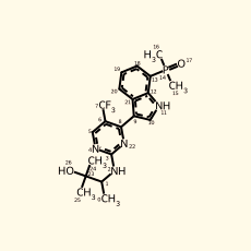 CC(Nc1ncc(C(F)(F)F)c(-c2c[nH]c3c(P(C)(C)=O)cccc23)n1)C(C)(C)O